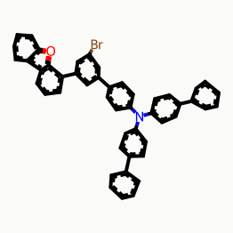 Brc1cc(-c2ccc(N(c3ccc(-c4ccccc4)cc3)c3ccc(-c4ccccc4)cc3)cc2)cc(-c2cccc3c2oc2ccccc23)c1